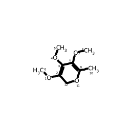 COC1=C(OC)C(OC)=C(C)O[CH]1